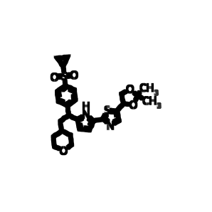 CC1(C)OCC(c2cnc(-c3ccc(C(CC4CCOCC4)c4ccc(S(=O)(=O)C5CC5)cc4)[nH]3)s2)O1